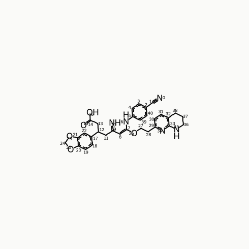 N#Cc1ccc(N/C(=C\C(=N)CC(CC(=O)O)c2ccc3c(c2)OCO3)OCCc2ccc3c(n2)NCCC3)cc1